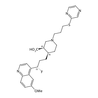 COc1ccc2nccc([C@@H](F)CC[C@@H]3CCN(CCCSc4cnccn4)C[C@@H]3C(=O)O)c2c1